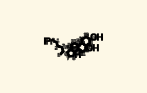 CC(C)CCCC(C)[C@H]1CC[C@H]2C3=CC[C@@]4(O)C[C@@H](O)CC[C@]4(C)[C@H]3CC[C@]12C